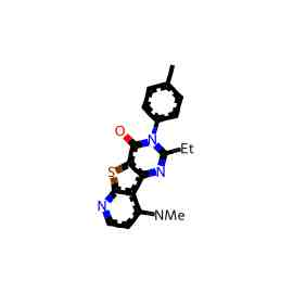 CCc1nc2c(sc3nccc(NC)c32)c(=O)n1-c1ccc(C)cc1